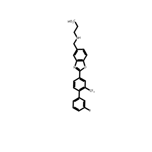 O=C(O)CCNCc1ccc2oc(-c3ccc(-c4cccc(F)c4)c(C(F)(F)F)c3)nc2c1